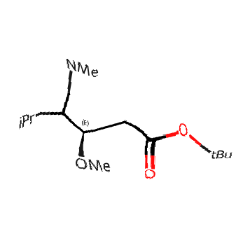 CNC(C(C)C)[C@@H](CC(=O)OC(C)(C)C)OC